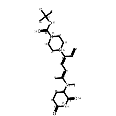 C=C/C(=C\C=C(/C)N(C)C1CCC(=O)NC1=O)N1CCN(C(=O)OC(C)(C)C)CC1